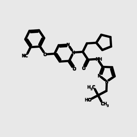 CC(C)(O)Cn1ccc(NC(=O)C(CC2CCCC2)n2ncc(Oc3ccccc3C#N)cc2=O)n1